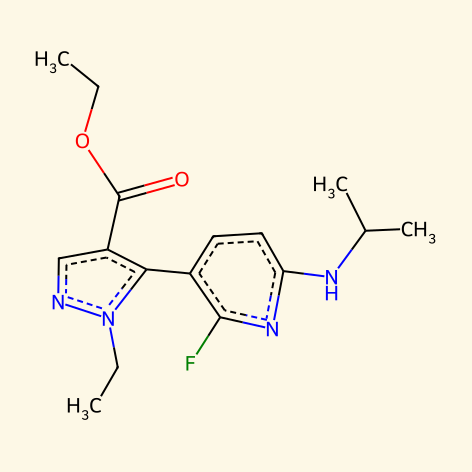 CCOC(=O)c1cnn(CC)c1-c1ccc(NC(C)C)nc1F